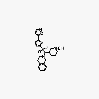 Cl.O=S(=O)(c1ccc(-c2ccno2)s1)C(C1CCCNC1)N1CCc2ccccc2C1